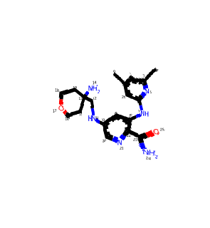 Cc1cc(C)nc(Nc2cc(NCC3(N)CCOCC3)cnc2C(N)=O)c1